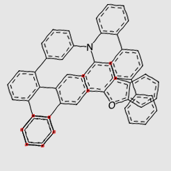 c1ccc(-c2ccc(-c3ccccc3N(c3cccc(-c4cccc(-c5ccccc5)c4-c4ccccc4-c4ccccc4)c3)c3ccc4oc5ccccc5c4c3)cc2)cc1